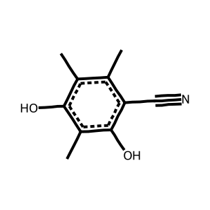 Cc1c(C)c(C#N)c(O)c(C)c1O